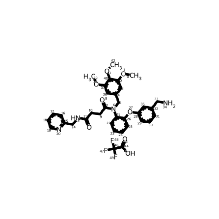 COc1cc(CN(C(=O)CCC(=O)NCc2ccccn2)c2ccccc2Oc2cccc(CN)c2)cc(OC)c1OC.O=C(O)C(F)(F)F